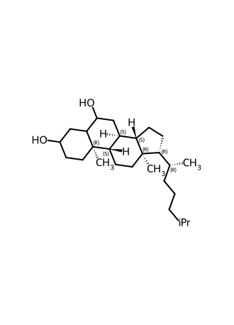 CC(C)CCC[C@@H](C)[C@H]1CC[C@H]2[C@@H]3CC(O)C4CC(O)CC[C@]4(C)[C@H]3CC[C@]12C